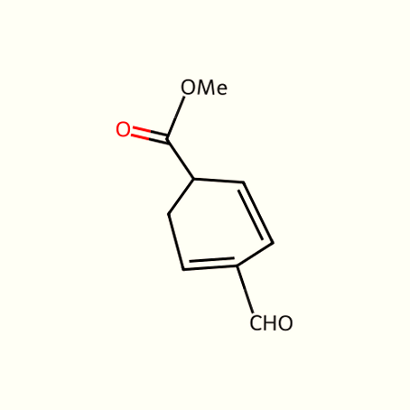 COC(=O)C1C=CC(C=O)=CC1